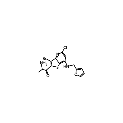 CC(N)C(=O)c1sc2c(NCc3ccco3)cc(Cl)nc2c1Br